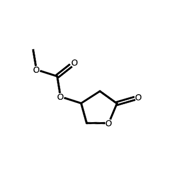 COC(=O)OC1COC(=O)C1